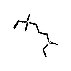 C=C[Si](C)(C)CCCN(C)CC